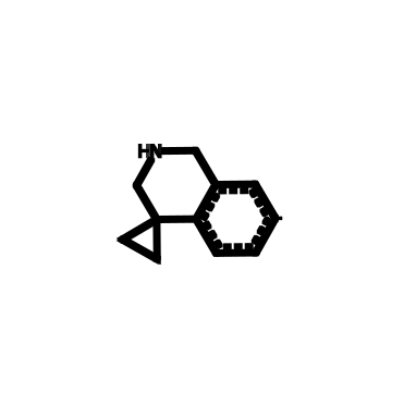 [c]1ccc2c(c1)CNCC21CC1